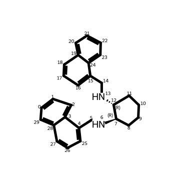 c1ccc2c(CN[C@@H]3CCCC[C@H]3NCc3cccc4ccccc34)cccc2c1